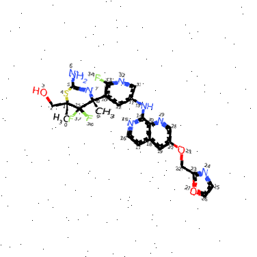 C[C@@]1(CO)SC(N)=N[C@](C)(c2cc(Nc3nccc4cc(OCc5ncco5)cnc34)cnc2F)C1(F)F